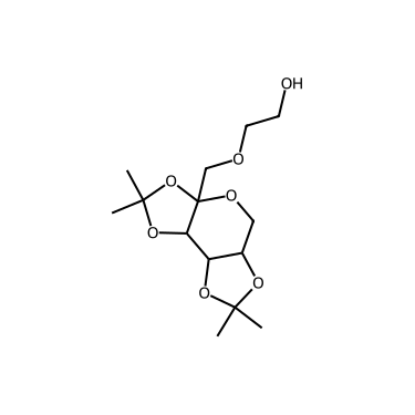 CC1(C)OC2COC3(COCCO)OC(C)(C)OC3C2O1